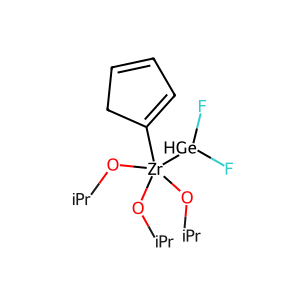 CC(C)[O][Zr]([O]C(C)C)([O]C(C)C)([C]1=CC=CC1)[GeH]([F])[F]